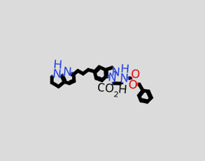 O=C(NC(Cn1ncc2cc(CCCc3ccc4c(n3)NCCC4)ccc21)C(=O)O)OCc1ccccc1